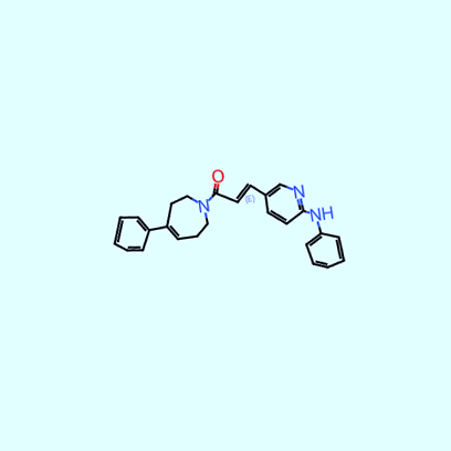 O=C(/C=C/c1ccc(Nc2ccccc2)nc1)N1CCC=C(c2ccccc2)CC1